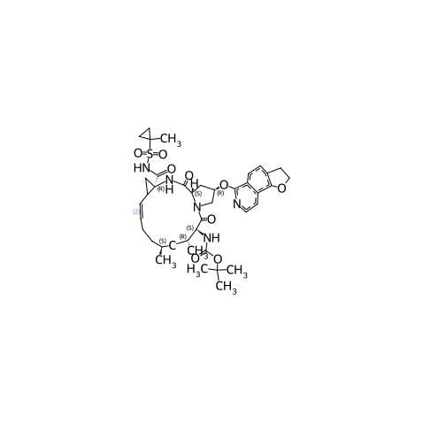 C[C@H]1CC/C=C\C2C[C@@]2(C(=O)NS(=O)(=O)C2(C)CC2)NC(=O)[C@@H]2C[C@@H](Oc3nccc4c5c(ccc34)CCO5)CN2C(=O)[C@@H](NC(=O)OC(C)(C)C)[C@H](C)C1